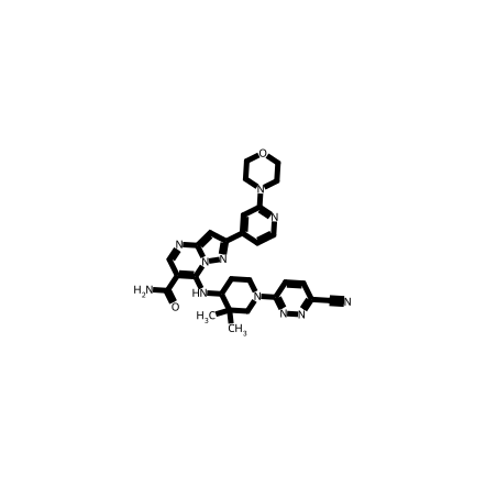 CC1(C)CN(c2ccc(C#N)nn2)CCC1Nc1c(C(N)=O)cnc2cc(-c3ccnc(N4CCOCC4)c3)nn12